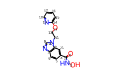 O=C(NO)c1ccc2ncn(CCOc3ccccn3)c2c1